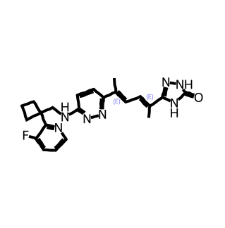 C/C(=C\C=C(/C)c1n[nH]c(=O)[nH]1)c1ccc(NCC2(c3ncccc3F)CCC2)nn1